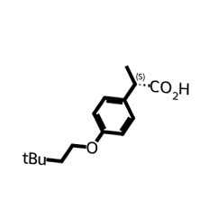 C[C@H](C(=O)O)c1ccc(OCCC(C)(C)C)cc1